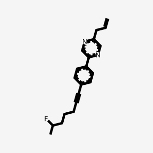 C=CCc1cnc(-c2ccc(C#CCCCC(C)F)cc2)cn1